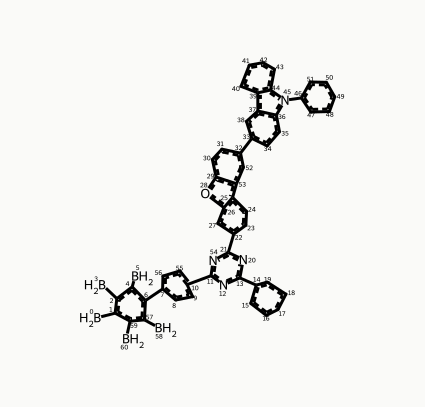 Bc1c(B)c(B)c(-c2ccc(-c3nc(-c4ccccc4)nc(-c4ccc5c(c4)oc4ccc(-c6ccc7c(c6)c6ccccc6n7-c6ccccc6)cc45)n3)cc2)c(B)c1B